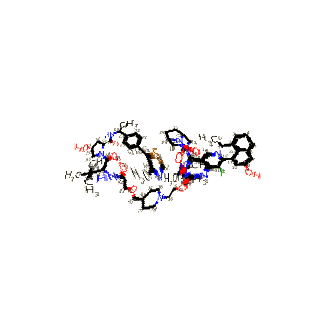 CCc1cccc2cc(O)cc(-c3ncc4c(N5CC6CCC(C5)N6C(=O)OC(C)(C)C)nc(OCCN5CCC(COCC(=O)N[C@H](C(=O)N6C[C@H](O)C[C@H]6C(=O)N[C@@H](C)c6ccc(-c7scnc7C)cc6)C(C)(C)C)CC5)nc4c3F)c12